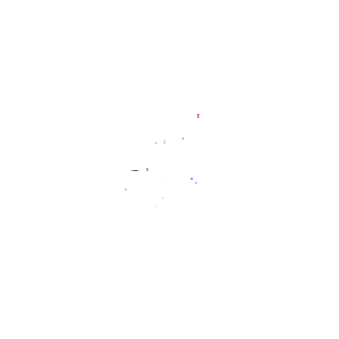 CCCCN(c1ccc(C(=O)O)cc1)[C@@H](C)C(=O)O